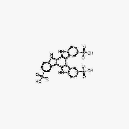 O=S(=O)(O)c1ccc2[nH]c3c4[nH]c5ccc(S(=O)(=O)O)cc5c4c4c5cc(S(=O)(=O)O)ccc5[nH]c4c3c2c1